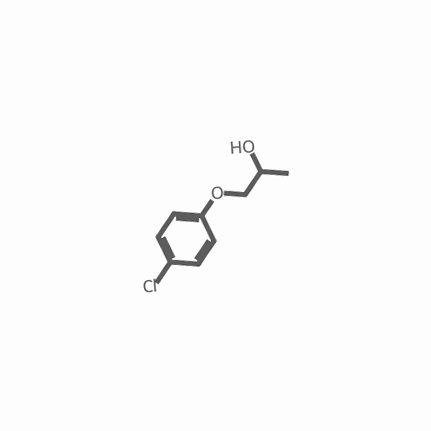 CC(O)COc1ccc(Cl)cc1